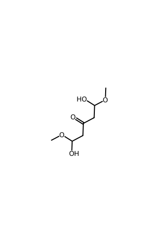 COC(O)CC(=O)CC(O)OC